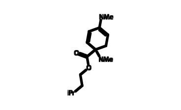 CNC1=CCC(NC)(C(=O)OCCC(C)C)C=C1